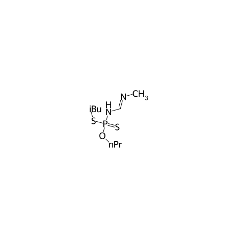 CCCOP(=S)(NC=NC)SC(C)CC